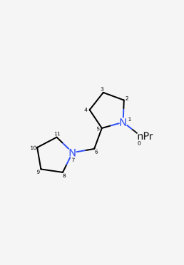 [CH2]CCN1CCCC1CN1CCCC1